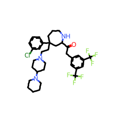 O=C(Cc1cc(C(F)(F)F)cc(C(F)(F)F)c1)C1CC(CCN2CCC(N3CCCCC3)CC2)(c2cccc(Cl)c2)CCCN1